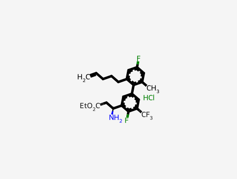 C=CCCCc1cc(F)cc(C)c1-c1cc([C@@H](N)CC(=O)OCC)c(F)c(C(F)(F)F)c1.Cl